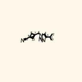 CC(C)c1cn(CC23CC(C#N)(C2)C3)nn1